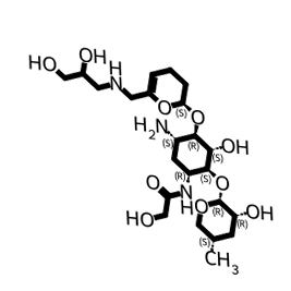 C[C@@H]1CO[C@H](O[C@@H]2[C@@H](O)[C@H](O[C@@H]3CCC=C(CNCC(O)CO)O3)[C@@H](N)C[C@H]2NC(=O)CO)[C@H](O)C1